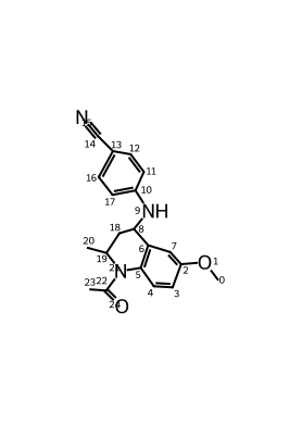 COc1ccc2c(c1)C(Nc1ccc(C#N)cc1)CC(C)N2C(C)=O